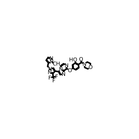 Cn1nccc1Cn1cc(-c2cnc3c(Oc4ccc(C(=O)N5CCOCC5)c(O)c4)nccn23)c(C(F)(F)F)n1